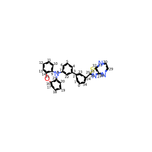 c1cc(-c2cccc(N3c4ccccc4Oc4ccccc43)c2)cc(-c2nc3nccnc3s2)c1